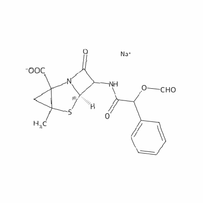 CC12CC1(C(=O)[O-])N1C(=O)C(NC(=O)C(OC=O)c3ccccc3)[C@H]1S2.[Na+]